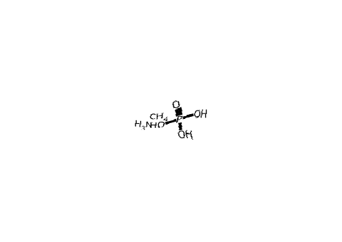 C.N.O=P(O)(O)O